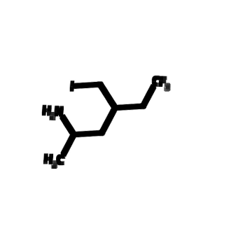 CC(N)CC(CI)CC(F)(F)F